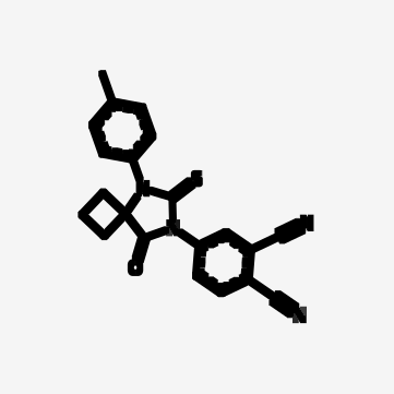 Cc1ccc(N2C(=S)N(c3ccc(C#N)c(C#N)c3)C(=O)C23CCC3)cc1